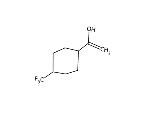 C=C(O)C1CCC(C(F)(F)F)CC1